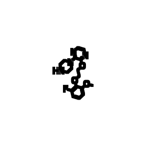 COc1cccc(F)c1OCCOc1nccnc1N1CCNCC1